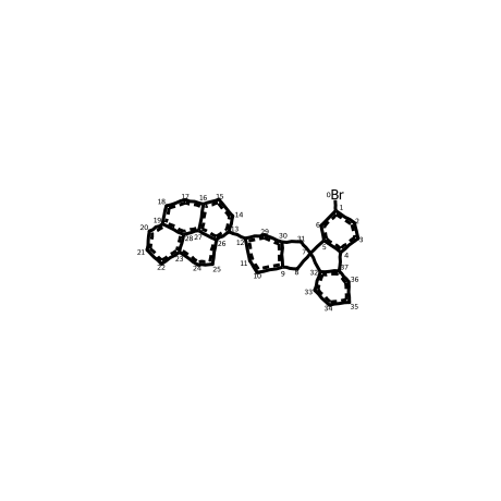 Brc1ccc2c(c1)C1(Cc3ccc(-c4ccc5ccc6cccc7ccc4c5c67)cc3C1)c1ccccc1-2